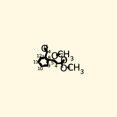 COC(=O)C=C(OC)c1ccccc1C=O